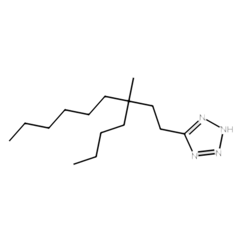 CCCCCCC(C)(CCCC)CCc1nn[nH]n1